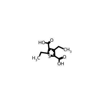 CCc1sc(C(=O)O)c(CC)c1C(=O)O